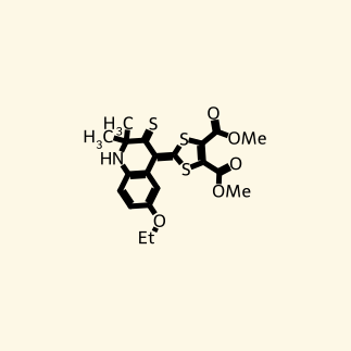 CCOc1ccc2c(c1)C(=C1SC(C(=O)OC)=C(C(=O)OC)S1)C(=S)C(C)(C)N2